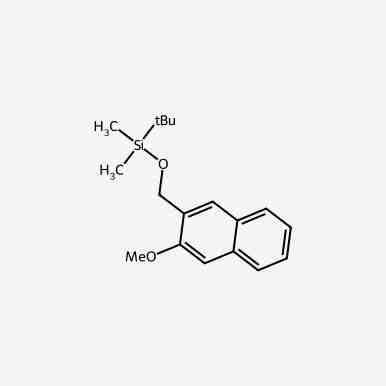 COc1cc2ccccc2cc1CO[Si](C)(C)C(C)(C)C